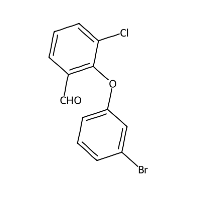 O=Cc1cccc(Cl)c1Oc1cccc(Br)c1